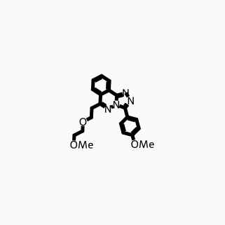 COCCOCCc1nn2c(-c3ccc(OC)cc3)nnc2c2ccccc12